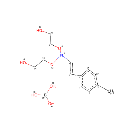 Cc1ccc(C=CN(OCCO)OCCO)cc1.OB(O)O